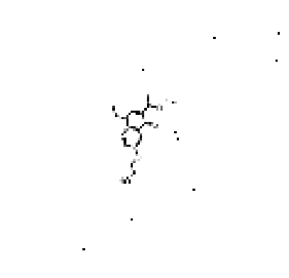 CCOC(=O)c1cn(CC)c2ccc(OCCO)cc2c1=O